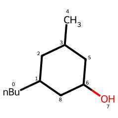 CCCCC1CC(C)CC(O)C1